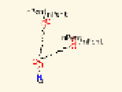 CCCCCC(CCCCC)CC(=O)OCCCCCCCCCCC(CCCCCCCCCCOC(=O)CC(CCCCC)CCCCC)C(=O)OCCCN1CCCC1